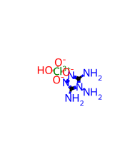 Nc1nnc(N)n1N.[O-][Cl+3]([O-])([O-])O